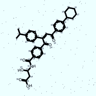 CC(C)c1ccc(/C(=C/C(=O)c2ccc(C3CCCCC3)cc2)C(=O)c2ccc(C(=O)NC(O)CC(=O)O)cc2)cc1